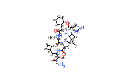 CC1C2(CCC2)[C@@]12C[C@@H](C(=O)NC(CC1CCC1)C(=O)C(N)=O)N(C(=O)[C@@H](NC(=O)[C@@H](NC(=O)c1c[nH]cn1)C1CCCCC1)C(C)(C)C)C2